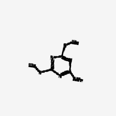 CNc1nc(SC(C)(C)C)nc(SC(C)(C)C)n1